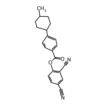 CC1CCC(c2ccc(C(=O)Oc3ccc(C#N)cc3C#N)cc2)CC1